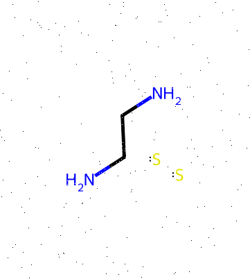 NCCN.[S].[S]